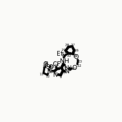 CC[C@H]1Nc2nc(nc3cnc(N4CCCS4(=O)=O)c(C(F)(F)F)c23)OCCOc2ccccc21